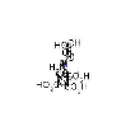 C=NN(/C=C(\N)c1ccc(C(C(=O)O)N2CCN(CC(=O)O)CCN(CC(=O)O)CCN(CC(=O)O)CC2)cc1)CCCCn1c(=O)c(C)cn(C2CC(O)[C@@H](CO)S2)c1=O